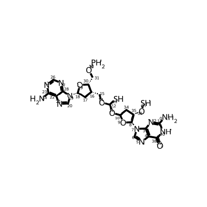 Nc1nc2c(ncn2[C@@H]2OC(OC(S)OC[C@@H]3C[C@H](n4cnc5c(N)ncnc54)O[C@@H]3COP)C[C@@H]2OS)c(=O)[nH]1